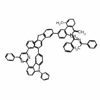 C=C(/N=C(\N=C(/C)c1ccccc1)c1ccccc1)C1=C(c2cc(-c3ccc4c(c3)-c3cc(-c5ccc6c(c5)c5c(-c7nc(-c8ccccc8)cc(-c8ccccc8)n7)cccc5n6-c5ccccc5)ccc3C4)ccc2C)C(C)=CCC1